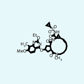 CCOc1nc(OC2CC3C(=O)NC4(C(=O)NS(=O)(=O)C5CC5)CC4/C=C\CCCCN(C)C(=O)C3C2)c2ccc(OC)c(C)c2n1